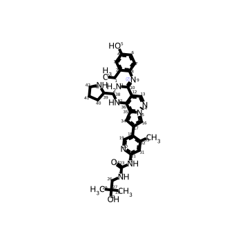 CCc1cc(O)ccc1/N=C(\N)c1cnn2cc(-c3cnc(NC(=O)NCC(C)(C)O)cc3C)cc2c1NCC1CCCN1